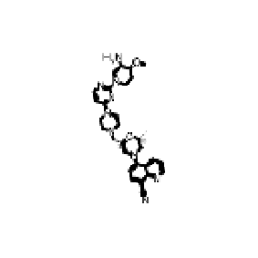 COC1CCN(c2nccc(N3CCN(C[C@H]4CN(c5ccc(C#N)c6ncccc56)C[C@@H](C)O4)CC3)n2)CC1N